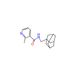 Cc1ncccc1C(=O)NCC12CC3CC(CC(C3)C1)C2